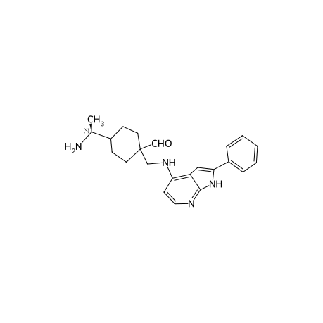 C[C@H](N)C1CCC(C=O)(CNc2ccnc3[nH]c(-c4ccccc4)cc23)CC1